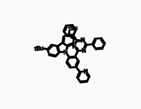 CC(C)(C)c1ccc2c(c1)c1cc(C(C)(C)C)ccc1n2-c1ccc(-c2ccccn2)cc1-c1nc(-c2ccccc2)nc(-c2ccccc2)n1